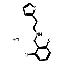 Cl.Clc1cccc(Cl)c1CNCCc1cccs1